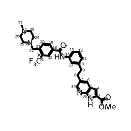 COC(=O)c1cc2cc(CCc3cccc(NC(=O)c4ccc(CN5CCN(C)CC5)c(C(F)(F)F)c4)c3)cnc2[nH]1